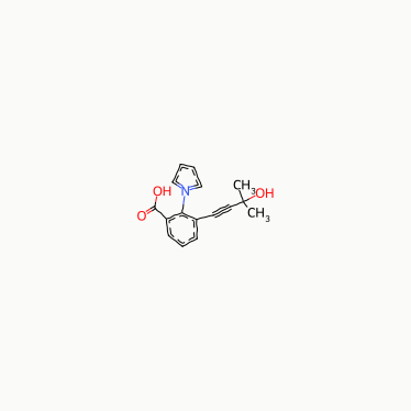 CC(C)(O)C#Cc1cccc(C(=O)O)c1-n1cccc1